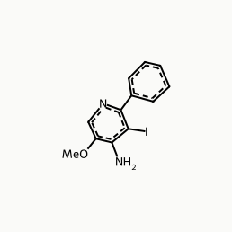 COc1cnc(-c2ccccc2)c(I)c1N